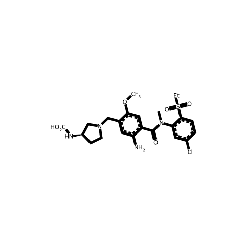 CCS(=O)(=O)c1ccc(Cl)cc1N(C)C(=O)c1cc(OC(F)(F)F)c(CN2CC[C@@H](NC(=O)O)C2)cc1N